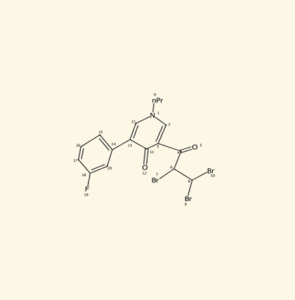 CCCn1cc(C(=O)C(Br)C(Br)Br)c(=O)c(-c2cccc(F)c2)c1